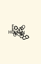 O=C(CC[C@H](Cc1ccc2ccccc2c1)n1cc([C@H]2COCCN2C(=O)c2ccc(F)c(F)c2)nn1)NO